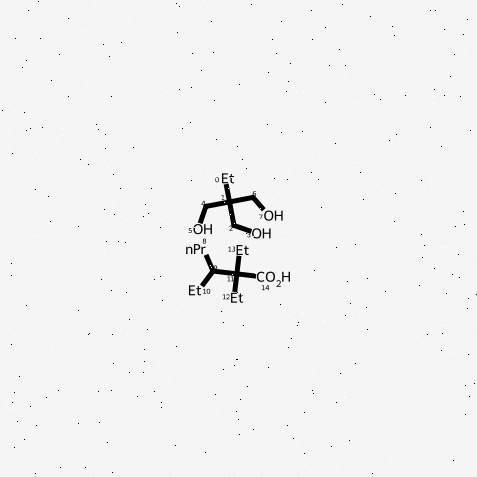 CCC(CO)(CO)CO.CCCC(CC)C(CC)(CC)C(=O)O